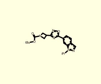 CC(C)n1ncc2ccc(-c3nc(C4CN(C(=O)OC(C)(C)C)C4)no3)cc21